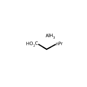 CCCCC(=O)O.[AlH3]